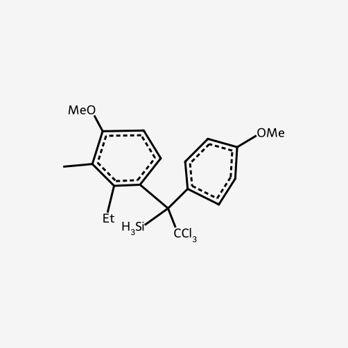 CCc1c(C([SiH3])(c2ccc(OC)cc2)C(Cl)(Cl)Cl)ccc(OC)c1C